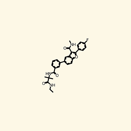 CCNC(=O)C(C)(C)NC(=O)c1cccc(-c2ccc3oc(-c4ccc(F)cc4)c(C(=O)NC)c3c2)c1